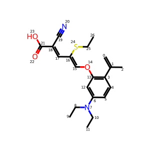 C=C(C)c1ccc(N(CC)CC)cc1O/C=C(/C=C(\C#N)C(=O)O)SCC